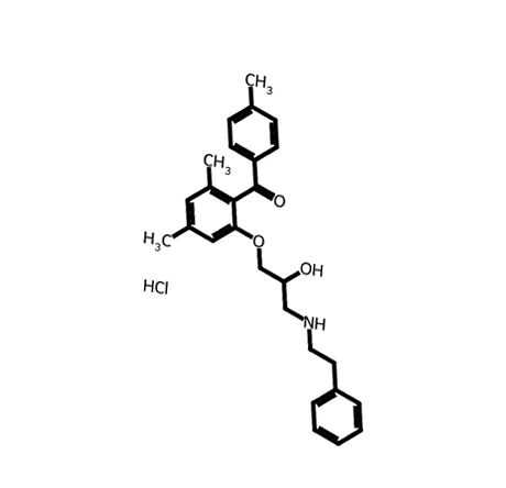 Cc1ccc(C(=O)c2c(C)cc(C)cc2OCC(O)CNCCc2ccccc2)cc1.Cl